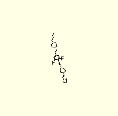 CCCC[C@H]1CC[C@H](CCc2cc(F)c(C#C[C@H]3CC[C@H](C=CCl)CC3)c(F)c2)CC1